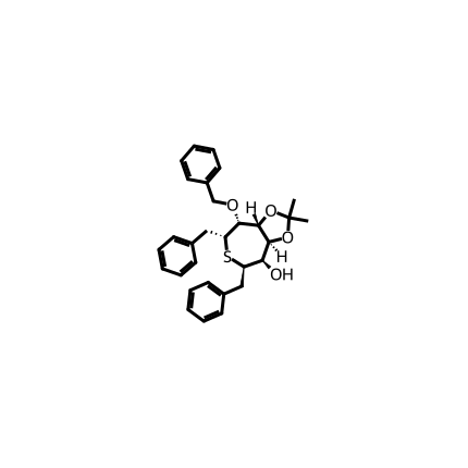 CC1(C)O[C@H]2[C@@H](OCc3ccccc3)[C@@H](Cc3ccccc3)S[C@H](Cc3ccccc3)[C@H](O)[C@@H]2O1